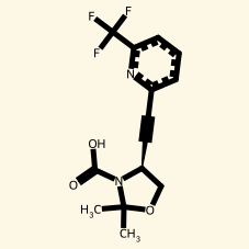 CC1(C)OC[C@H](C#Cc2cccc(C(F)(F)F)n2)N1C(=O)O